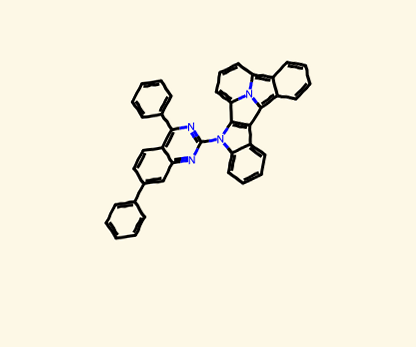 c1ccc(-c2ccc3c(-c4ccccc4)nc(-n4c5ccccc5c5c4c4cccc6c7ccccc7c5n64)nc3c2)cc1